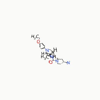 CCOc1ccc(N2C[C@H]3CN(C(=O)N4CCC(C#N)CC4)C[C@@H]2C(C)(C)C3)cc1